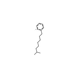 CC(C)CCCCCCc1[c]cccc1